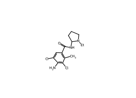 CCN1CCCC1NC(=O)c1cc(Cl)c(N)c(Cl)c1C